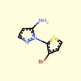 Nc1ccnn1-c1sccc1Br